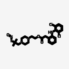 CC(C)(CN1CCN(CCOC(=O)Cc2ccccc2Nc2c(Cl)cccc2Cl)CC1)SN=O